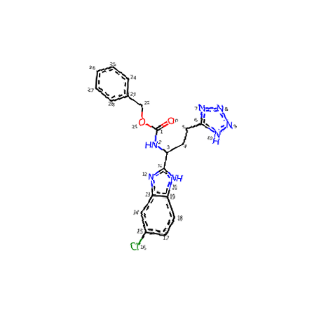 O=C(NC(CCc1nnn[nH]1)c1nc2cc(Cl)ccc2[nH]1)OCc1ccccc1